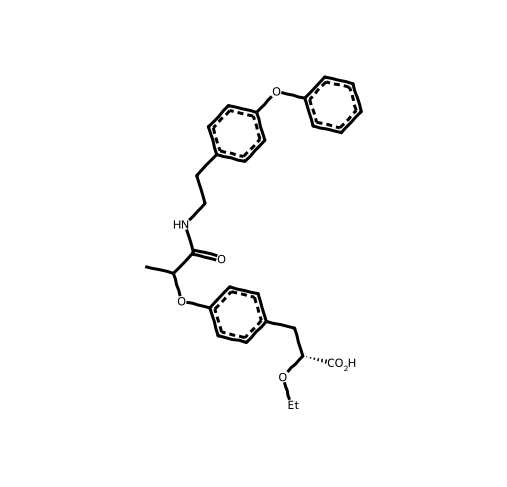 CCO[C@H](Cc1ccc(OC(C)C(=O)NCCc2ccc(Oc3ccccc3)cc2)cc1)C(=O)O